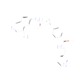 Cc1cncc2ccc(NC(=O)C3CC3c3ccc(C(=O)NCc4cccnc4)cc3)cc12